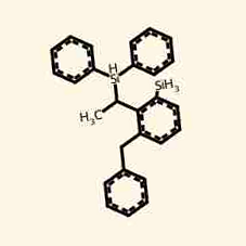 CC(c1c([SiH3])cccc1Cc1ccccc1)[SiH](c1ccccc1)c1ccccc1